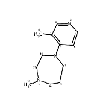 Cc1cnccc1N1CCCN(C)CC1